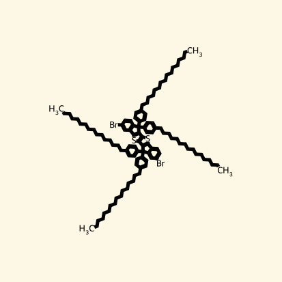 CCCCCCCCCCCCCCCCc1ccc(C2(c3ccc(CCCCCCCCCCCCCCCC)cc3)c3ccc(Br)cc3-c3sc4c5c(sc4c32)-c2ccc(Br)cc2C5(c2ccc(CCCCCCCCCCCCCCCC)cc2)c2ccc(CCCCCCCCCCCCCCCC)cc2)cc1